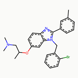 Cc1cccc(-c2nc3ccc(OC(C)CN(C)C)cc3n2Cc2ccccc2Br)c1